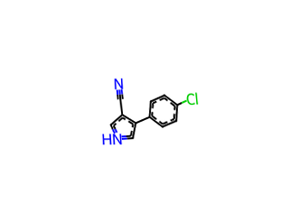 N#Cc1c[nH]cc1-c1ccc(Cl)cc1